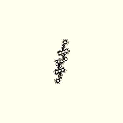 CC(C)(C)c1cc(C(=O)OCc2c3ccccc3c(COCc3ccccc3)c3ccccc23)ccc1C(=O)OCc1c2ccccc2c(COCc2ccccc2)c2ccccc12